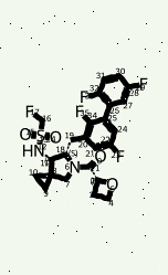 O=C([C@H]1CCO1)N1CC2(CC2)[C@H](NS(=O)(=O)CF)[C@@H]1Cc1cc(F)cc(-c2cc(F)ccc2F)c1F